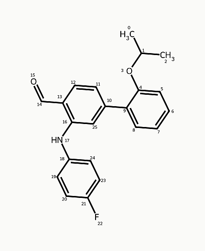 CC(C)Oc1ccccc1-c1ccc(C=O)c(Nc2ccc(F)cc2)c1